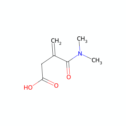 C=C(CC(=O)O)C(=O)N(C)C